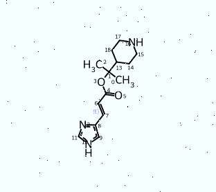 CC(C)(OC(=O)/C=C/c1c[nH]cn1)C1CCNCC1